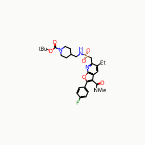 CCc1cc2c(C(=O)NC)c(-c3ccc(F)cc3)oc2nc1CS(=O)(=O)NCC1CCN(C(=O)OC(C)(C)C)CC1